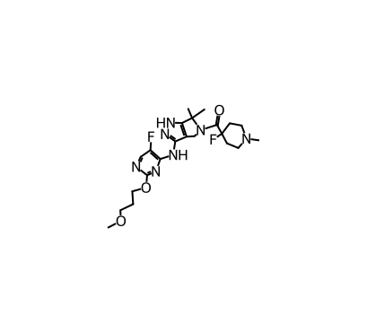 COCCCOc1ncc(F)c(Nc2n[nH]c3c2CN(C(=O)C2(F)CCN(C)CC2)C3(C)C)n1